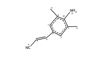 Cc1cc(/C=C/C#N)cc(C)c1N